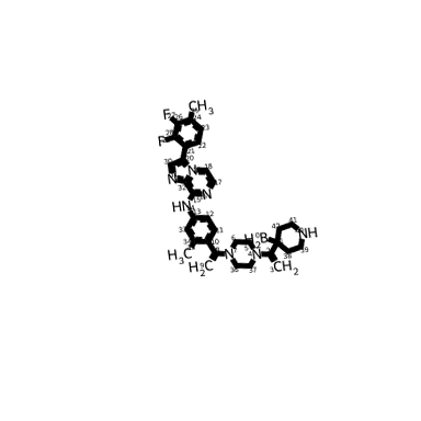 BC1(C(=C)N2CCN(C(=C)c3ccc(Nc4nccn5c(-c6ccc(C)c(F)c6F)cnc45)cc3C)CC2)CCNCC1